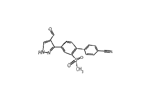 CS(=O)(=O)c1cc(-c2n[nH]cc2C=O)ccc1-c1ccc(C#N)cc1